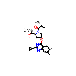 COC(=O)C1C[C@@H](Oc2nc(C3CC3)nc3cc(C)c(C)cc23)CN1C(=O)[C@@H](C)C(C)(C)C